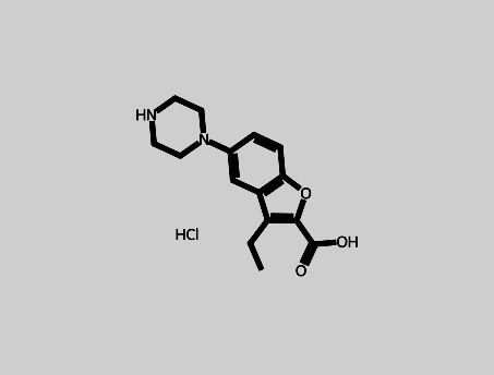 CCc1c(C(=O)O)oc2ccc(N3CCNCC3)cc12.Cl